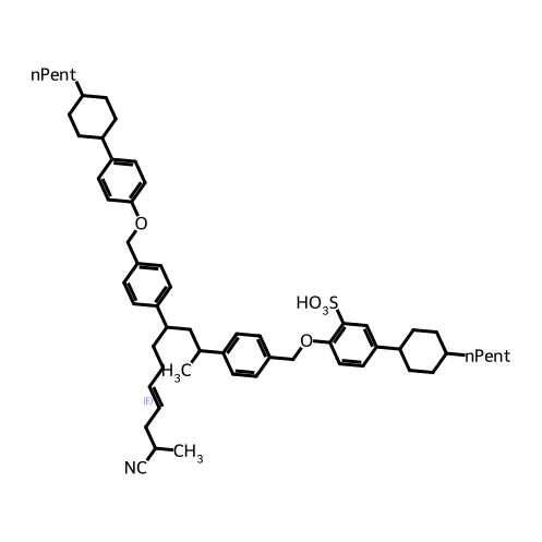 CCCCCC1CCC(c2ccc(OCc3ccc(C(CC/C=C/CC(C)C#N)CC(C)c4ccc(COc5ccc(C6CCC(CCCCC)CC6)cc5S(=O)(=O)O)cc4)cc3)cc2)CC1